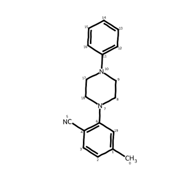 Cc1ccc(C#N)c(N2CCN(c3ccccc3)CC2)c1